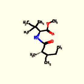 CCC(C)[C@H](C)C(=O)N[C@H](C(=O)OC)C(C)(C)C